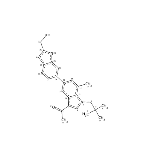 CC(=O)c1cn(CC(C)(C)C)c2c(C)cc(-c3cnc4cc(CF)nn4c3)cc12